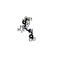 CCNC(=O)c1cc(C(=O)N[C@@H](C)/C=C/c2cnn(Cc3ccc(Cl)c(Cl)c3)c2)ccn1